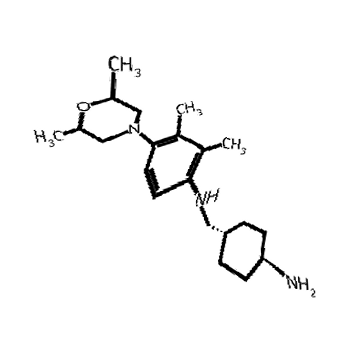 Cc1c(NC[C@H]2CC[C@H](N)CC2)ccc(N2CC(C)OC(C)C2)c1C